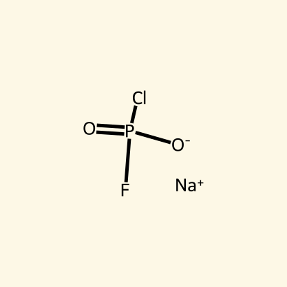 O=P([O-])(F)Cl.[Na+]